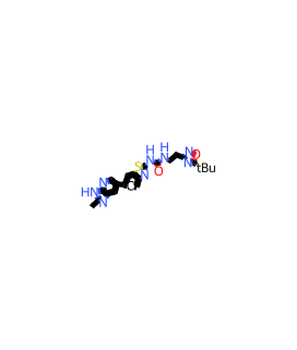 Cc1nc2cc(-c3ccc4nc(NC(=O)NCCc5noc(C(C)(C)C)n5)sc4c3)cnc2[nH]1